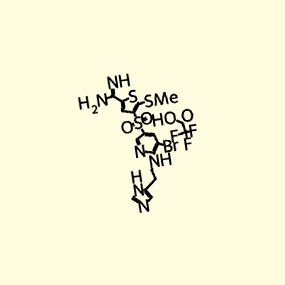 CSc1sc(C(=N)N)cc1S(=O)(=O)c1cnc(NCCc2cnc[nH]2)c(Br)c1.O=C(O)C(F)(F)F